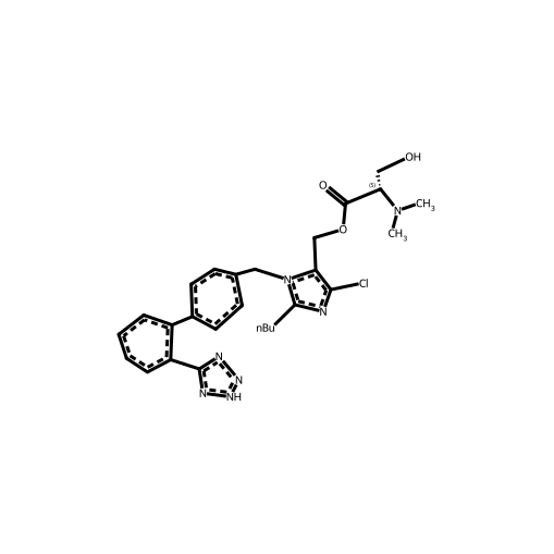 CCCCc1nc(Cl)c(COC(=O)[C@H](CO)N(C)C)n1Cc1ccc(-c2ccccc2-c2nn[nH]n2)cc1